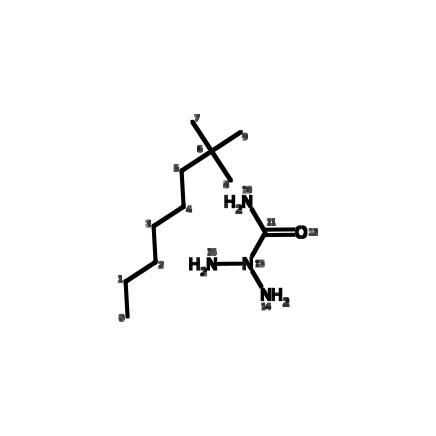 CCCCCCC(C)(C)C.NC(=O)N(N)N